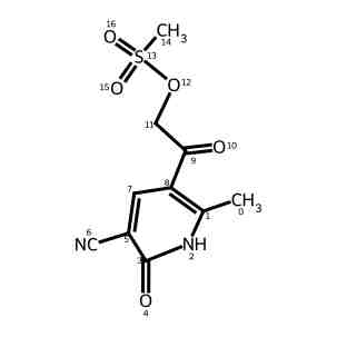 Cc1[nH]c(=O)c(C#N)cc1C(=O)COS(C)(=O)=O